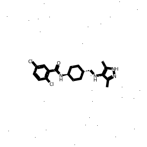 Cc1n[nH]c(C)c1NC[C@H]1CC[C@H](NC(=O)c2cc(Cl)ccc2Cl)CC1